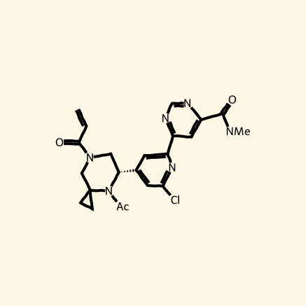 C=CC(=O)N1C[C@H](c2cc(Cl)nc(-c3cc(C(=O)NC)ncn3)c2)N(C(C)=O)C2(CC2)C1